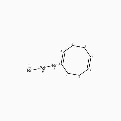 C1=C\CC/C=C\CC/1.[Br][Pd][Br]